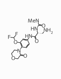 CNC(=O)N[C@H](CN)C(=O)Nc1ccc(N2CCOCC2=O)c(OC(F)F)c1